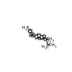 CC(C)=CCC[C@@H](C)C1CCC2C3CC=C4C[C@@H](OS(=O)(=O)c5ccc(C)cc5)CC[C@]4(C)C3CC[C@@]21C